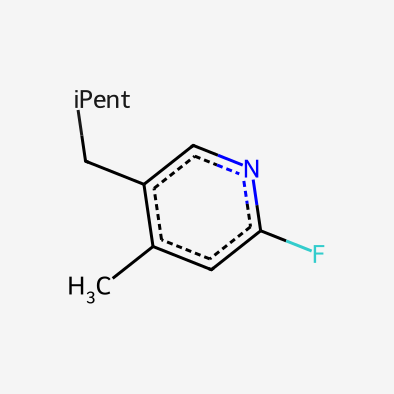 CCCC(C)Cc1cnc(F)cc1C